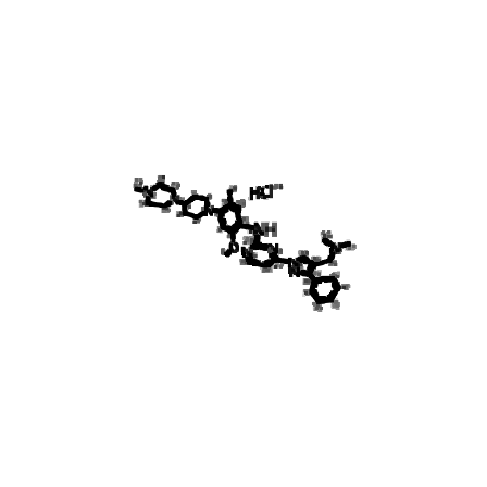 COc1cc(N2CCC(N3CCN(C)CC3)CC2)c(C)cc1Nc1nccc(-n2cc(CN(C)C)c(-c3ccccc3)n2)n1.Cl